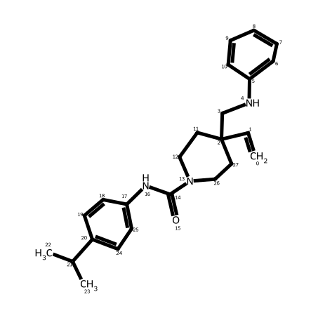 C=CC1(CNc2ccccc2)CCN(C(=O)Nc2ccc(C(C)C)cc2)CC1